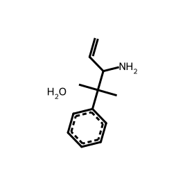 C=CC(N)C(C)(C)c1ccccc1.O